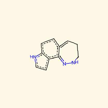 C1=c2ccc3[nH]ccc3c2=NNCC1